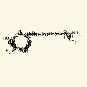 CCCC[C@H](NC(=O)CCOCCOCCOCCOCCOCCOCCNC(=O)C(CNCCN)CNCCN)C(=O)N[C@H]1CSCc2cncc(c2)CSCC(C(=O)O)NC(=O)[C@H](Cc2ccccc2)NC(=O)[C@H](CCC(N)=O)NC(=O)[C@H]([C@@H](C)O)NC(=O)[C@@H]2CCCN2C(=O)[C@@H]2CCCN2C1=O